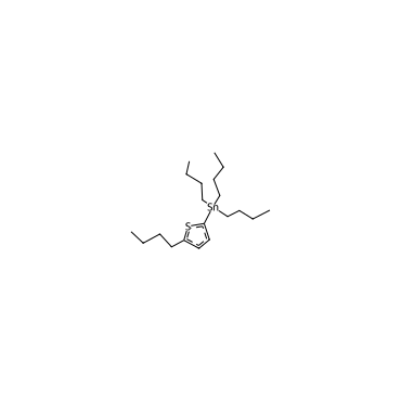 CCCCc1cc[c]([Sn]([CH2]CCC)([CH2]CCC)[CH2]CCC)s1